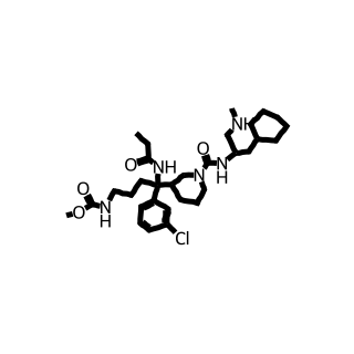 CCC(=O)NC(CCCNC(=O)OC)(c1cccc(Cl)c1)C1CCCN(C(=O)NC(CNC)CC2CCCCC2)C1